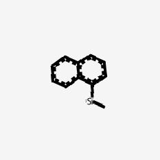 C[Si]c1cccc2ccccc12